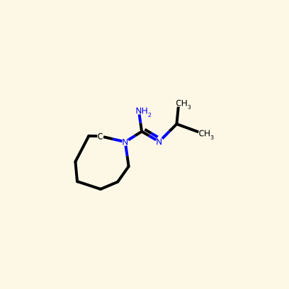 CC(C)/N=C(\N)N1CCCCCCC1